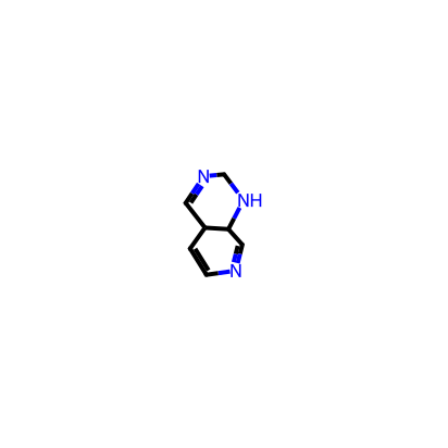 C1=CC2C=NCNC2C=N1